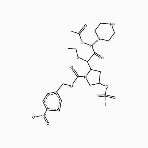 CCSC(C(=O)N(OC(C)=O)N1CCNCC1)C1CC(OS(C)(=O)=O)CN1C(=O)OCc1ccc([N+](=O)[O-])cc1